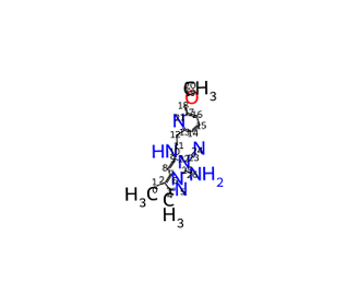 CCc1c(C)nn2c1C=C(NCCc1cccc(COC)n1)N(C#N)C2N